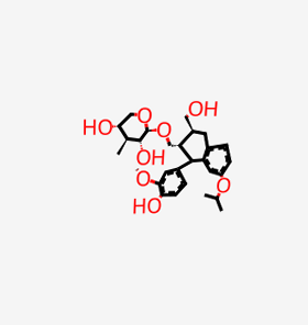 COc1cc(C2c3cc(OC(C)C)ccc3C[C@H](CO)[C@H]2CO[C@@H]2OC[C@@H](O)[C@H](C)[C@H]2O)ccc1O